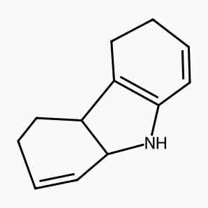 C1=CC2=C(CC1)C1CCC=CC1N2